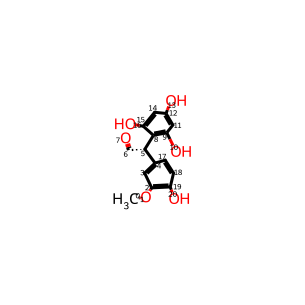 COc1cc([C@H](C=O)c2c(O)cc(O)cc2O)ccc1O